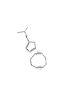 C1=C\CC/C=C\CC/1.C[CH](C)[Ir][C]1=CC=CC1